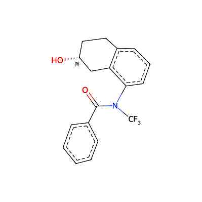 O=C(c1ccccc1)N(c1cccc2c1C[C@H](O)CC2)C(F)(F)F